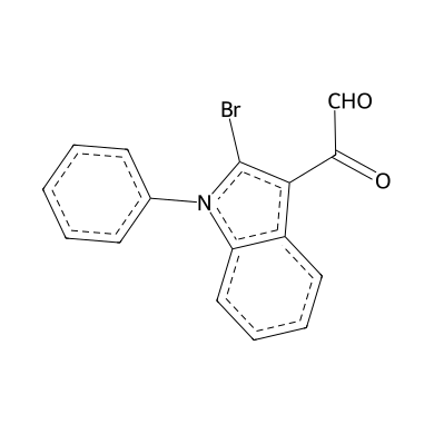 O=CC(=O)c1c(Br)n(-c2ccccc2)c2ccccc12